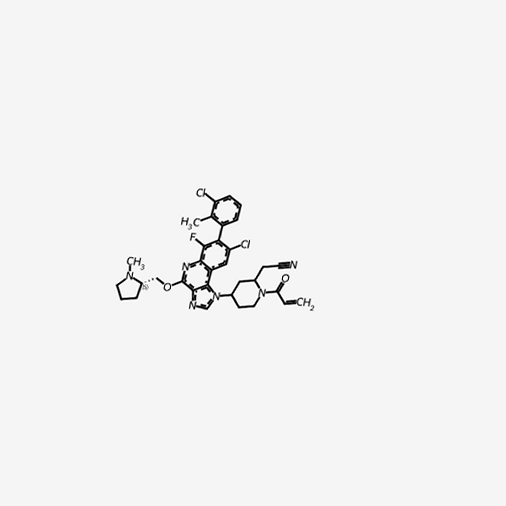 C=CC(=O)N1CCC(n2cnc3c(OC[C@@H]4CCCN4C)nc4c(F)c(-c5cccc(Cl)c5C)c(Cl)cc4c32)CC1CC#N